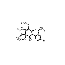 CCc1cc(Br)ccc1C1C(=O)C(SC)=S(C)C(SC)(SC)C1=O